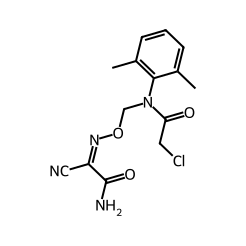 Cc1cccc(C)c1N(CON=C(C#N)C(N)=O)C(=O)CCl